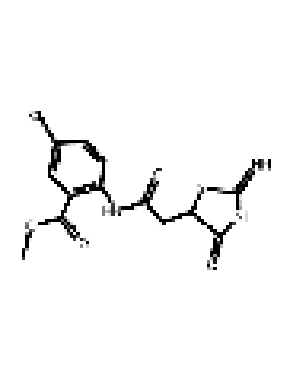 COC(=O)c1cc(Cl)ccc1NC(=O)CC1SC(=N)NC1=O